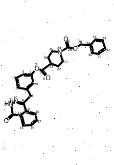 O=C(Oc1cccc(Cc2n[nH]c(=O)c3ccccc23)c1)C1CCN(C(=O)OCc2ccccc2)CC1